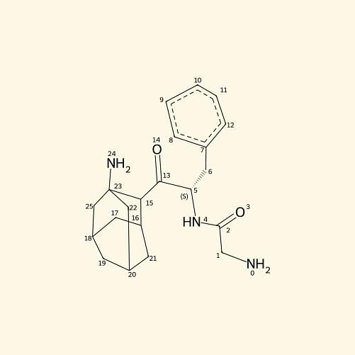 NCC(=O)N[C@@H](Cc1ccccc1)C(=O)C1C2CC3CC(C2)CC1(N)C3